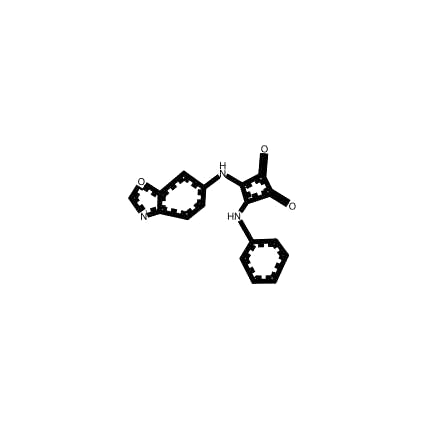 O=c1c(Nc2ccccc2)c(Nc2ccc3ncoc3c2)c1=O